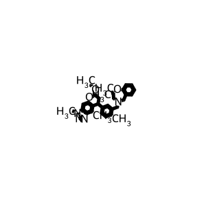 CCOC(=O)CC(c1ccc(C)c(CN2Cc3ccccc3OC(C)(C)C2)c1)c1ccc2c(nnn2C)c1C